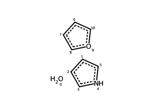 O.c1cc[nH]c1.c1ccoc1